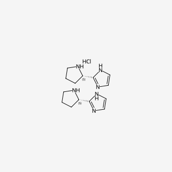 Cl.c1c[nH]c([C@@H]2CCCN2)n1.c1c[nH]c([C@@H]2CCCN2)n1